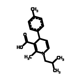 CC1=C(C(=O)O)C(c2ccc(C)cc2)C=CN1CC(C)C